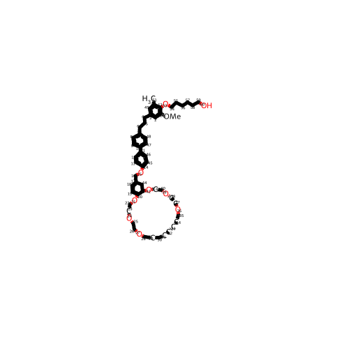 COc1cc(CCCc2ccc(-c3ccc(OCC4=C=C=C5OCCOCCOCCCCCCCCOCCOCCOC5C4)cc3)cc2)cc(C)c1OCCCCCCO